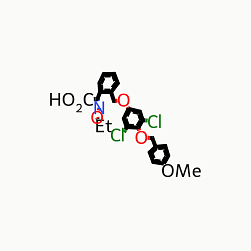 CCON=C(C(=O)O)c1ccccc1COc1cc(Cl)c(OCc2ccc(OC)cc2)c(Cl)c1